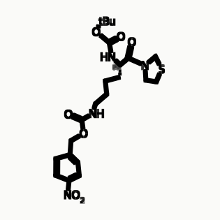 CC(C)(C)OC(=O)N[C@@H](CCCCNC(=O)OCc1ccc([N+](=O)[O-])cc1)C(=O)N1CCSC1